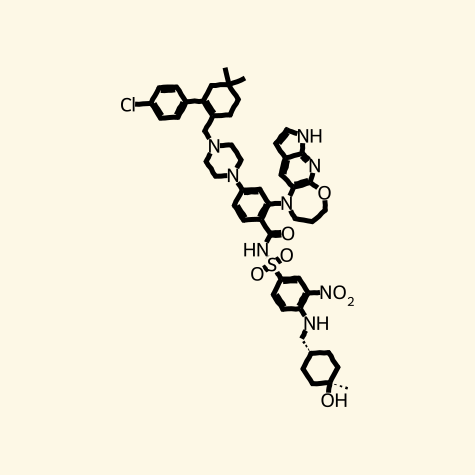 CC1(C)CCC(CN2CCN(c3ccc(C(=O)NS(=O)(=O)c4ccc(NC[C@H]5CC[C@](C)(O)CC5)c([N+](=O)[O-])c4)c(N4CCCOc5nc6[nH]ccc6cc54)c3)CC2)=C(c2ccc(Cl)cc2)C1